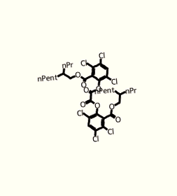 CCCCCC(CCC)COC(=O)c1c(Cl)c(Cl)cc(Cl)c1OC(=O)C(=O)Oc1c(Cl)cc(Cl)c(Cl)c1C(=O)OCC(CCC)CCCCC